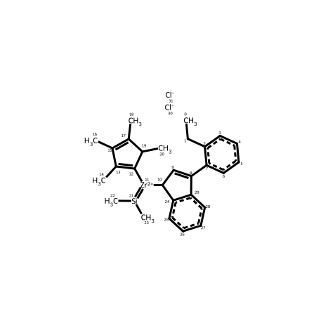 CCc1ccccc1C1=C[CH]([Zr+2]([C]2=C(C)C(C)=C(C)C2C)=[Si](C)C)c2ccccc21.[Cl-].[Cl-]